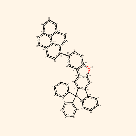 c1ccc(C2(c3ccccc3)c3ccccc3-c3cc4oc5ccc(-c6ccc7ccc8cccc9ccc6c7c89)cc5c4cc32)cc1